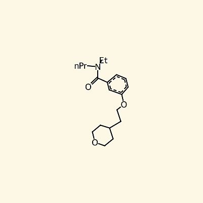 CCCN(CC)C(=O)c1cccc(OCCC2CCOCC2)c1